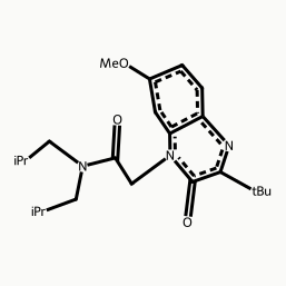 COc1ccc2nc(C(C)(C)C)c(=O)n(CC(=O)N(CC(C)C)CC(C)C)c2c1